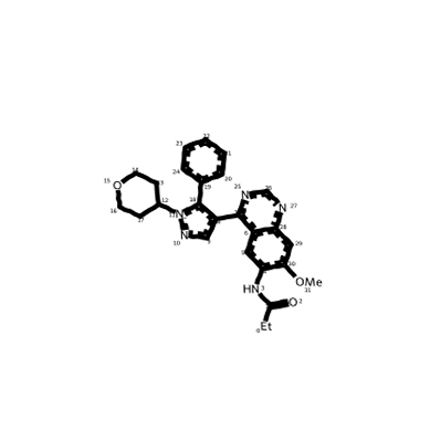 CCC(=O)Nc1cc2c(-c3cnn(C4CCOCC4)c3-c3ccccc3)ncnc2cc1OC